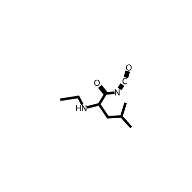 CCNC(CC(C)C)C(=O)N=C=O